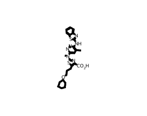 Cc1cc(N(C)c2nc(C(=O)O)c(CCCOC3CCCCC3)s2)nnc1Nc1nc2ccccc2s1